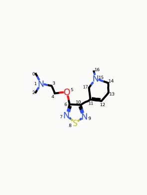 CN(C)CCOc1nsnc1C1=CCCN(C)C1